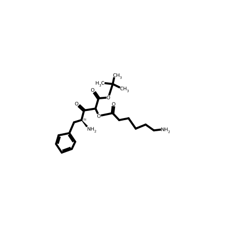 CC(C)(C)OC(=O)C(OC(=O)CCCCCN)C(=O)[C@@H](N)Cc1ccccc1